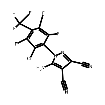 N#Cc1nn(-c2c(F)c(F)c(C(F)(F)F)c(F)c2Cl)c(N)c1C#N